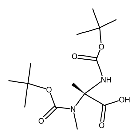 CN(C(=O)OC(C)(C)C)[C@](C)(NC(=O)OC(C)(C)C)C(=O)O